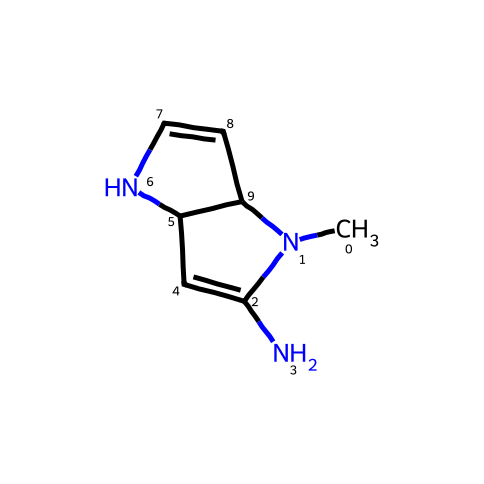 CN1C(N)=CC2NC=CC21